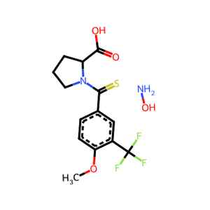 COc1ccc(C(=S)N2CCCC2C(=O)O)cc1C(F)(F)F.NO